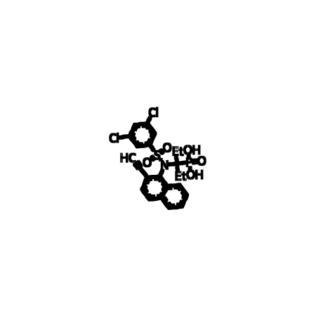 C#Cc1ccc2ccccc2c1N(C(CC)(CC)P(=O)(O)O)S(=O)(=O)c1cc(Cl)cc(Cl)c1